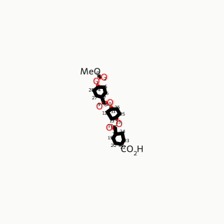 COC(=O)OC1CCC(C(=O)OC2CCC(OC(=O)C3CCC(C(=O)O)CC3)CC2)CC1